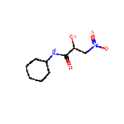 O=C(NC1CCCCC1)C(O)C[N+](=O)[O-]